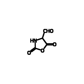 O=CC1NC(=O)OC1=O